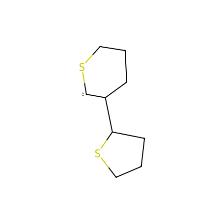 [C]1SCCCC1C1CCCS1